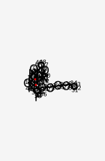 CC(C(=O)NC(C(=O)N1CCN(C(=O)c2cc3c(OCCOCCOCCOCc4ccccc4)c(F)c(F)cc3n2C)CC1)C1CCCCC1)N(C)C(=O)OC(C)(C)C